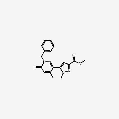 COC(=O)c1cc(-c2cn(Cc3ccccc3)c(=O)cc2C)n(C)n1